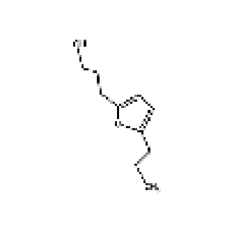 CCCc1ccc(CCCO)o1